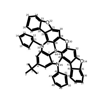 CC(C)(C)c1cc2c3c(c1)N(c1ccccc1)c1c4c(cc5oc6ccccc6c15)Oc1cc5oc6ccccc6c5c(c1B34)N2c1ccccc1